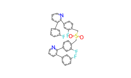 O=S(=O)(Cc1ccc(-c2ncccc2-c2cccc(F)c2)cc1F)Cc1ccc(-c2ncccc2-c2cccc(F)c2)cc1F